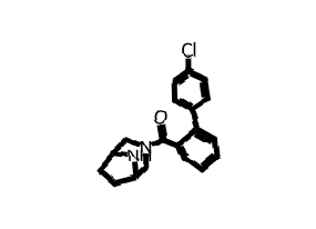 O=C(c1ccccc1-c1ccc(Cl)cc1)N1CC2CCC(C1)N2